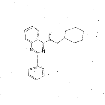 c1ccc(-c2nc(NCC3CCCCC3)c3ccccc3n2)cc1